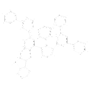 CC1(C)c2ccccc2-c2cc3c(-c4cccc(-c5nc(-c6ccccc6)cc(-c6ccccc6-c6ccccc6)n5)c4)cc(-c4cccc(-c5ccccc5)c4)nc3cc21